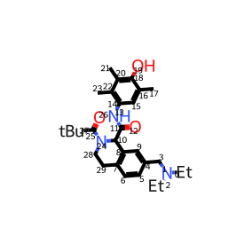 CCN(CC)Cc1ccc2c(c1)C(C(=O)Nc1cc(C)c(O)c(C)c1C)N(C(=O)C(C)(C)C)CC2